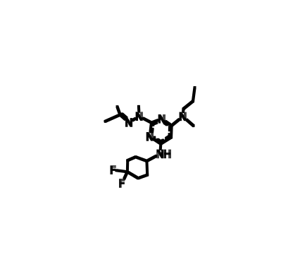 CCCN(C)c1cc(NC2CCC(F)(F)CC2)nc(N(C)N=C(C)C)n1